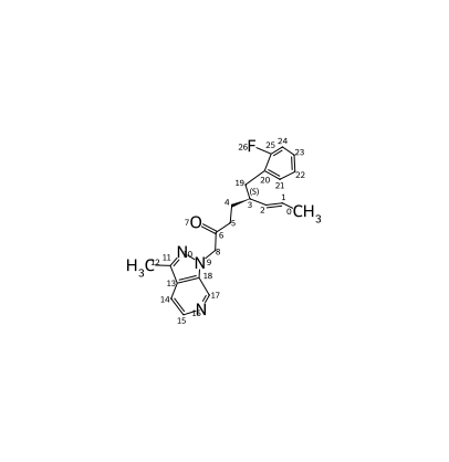 CC=C[C@@H](CCC(=O)Cn1nc(C)c2ccncc21)Cc1ccccc1F